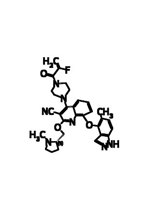 C=C(F)C(=O)N1CCN(c2c(C#N)c(OC[C@@H]3CCCN3C)nc3c(Oc4c(C)ccc5[nH]ncc45)cccc23)CC1